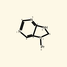 CC(C)N1CNc2ncncc21